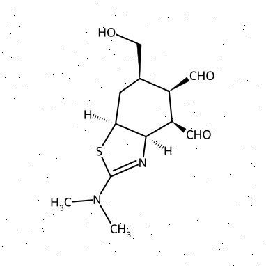 CN(C)C1=N[C@@H]2[C@H](C=O)[C@H](C=O)[C@H](CO)C[C@@H]2S1